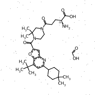 CC1(C)CCC(c2cc(C(C)(C)C)c3oc(C(=O)N4CCN(C(=O)CC[C@H](N)C(=O)O)CC4(C)C)cc3n2)CC1.O=CO